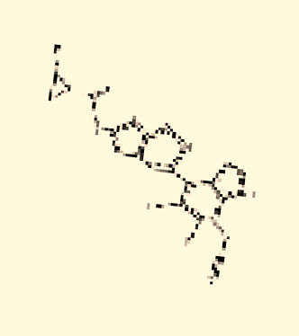 N#CCc1c(F)c(Cl)c(-c2cn3cc(NC(=O)[C@@H]4C[C@@H]4F)nc3cn2)c2cn[nH]c12